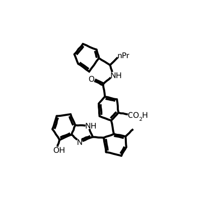 CCCC(NC(=O)c1ccc(-c2c(C)cccc2-c2nc3c(O)cccc3[nH]2)c(C(=O)O)c1)c1ccccc1